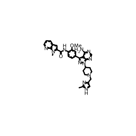 COc1cc(-c2nn(C3CCN(Cc4c[nH]c(C)n4)CC3)c3ncnc(N)c23)ccc1NC(=O)c1cc2cccnc2n1C